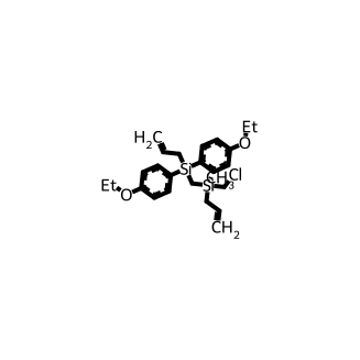 C=CC[Si](C)(CCl)C[Si](CC=C)(c1ccc(OCC)cc1)c1ccc(OCC)cc1